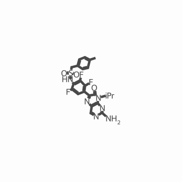 Cc1ccc(CS(=O)(=O)Nc2c(F)cc(-c3nc4cnc(N)nc4n(C(C)C)c3=O)c(F)c2F)cc1